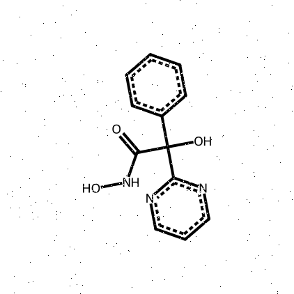 O=C(NO)C(O)(c1ccccc1)c1ncccn1